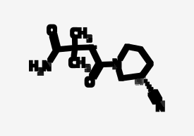 CC(C)([CH]C(=O)N1CCC[C@H](C#N)C1)C(N)=O